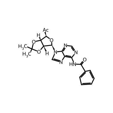 CC(=O)[C@H]1O[C@@H](n2cnc3c(NC(=O)c4ccccc4)ncnc32)[C@@H]2OC(C)(C)O[C@@H]21